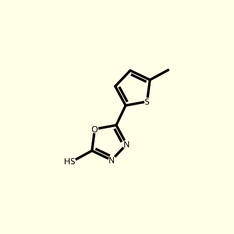 Cc1ccc(-c2nnc(S)o2)s1